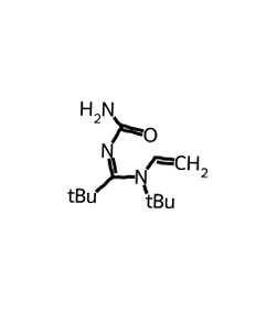 C=CN(/C(=N\C(N)=O)C(C)(C)C)C(C)(C)C